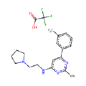 N#Cc1nc(NCCN2CCCC2)cc(-c2cccc(C(F)(F)F)c2)n1.O=C(O)C(F)(F)F